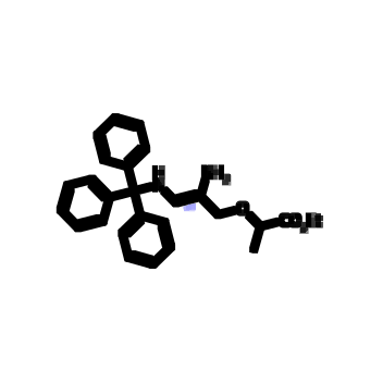 CCOC(=O)C(C)OC/C(N)=C/NC(c1ccccc1)(c1ccccc1)c1ccccc1